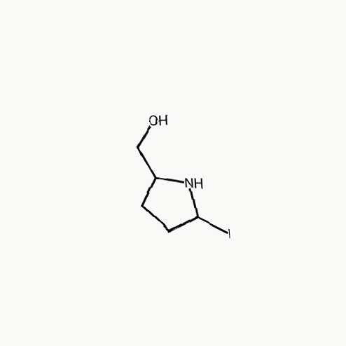 OCC1CCC(I)N1